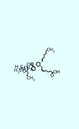 C=CCC(CCC)O[Si](C)(C)C.CCCCC/C=C/[C@H]1CCC[C@@H]1C/C=C\CCCC(=O)O.O=C1C=CCC1